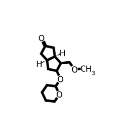 COCC1C(OC2CCCCO2)C[C@H]2CC(=O)C[C@@H]12